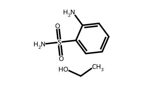 CCO.Nc1ccccc1S(N)(=O)=O